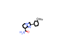 COc1cccc(-c2cn3cccc(C(N)=O)c3n2)c1